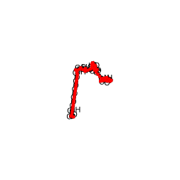 COc1cc2c(cc1OCCCCCOc1cc3c(cc1OC)C(=O)N1C=C(C)C[C@H]1[C@H](O)N3C(=O)OCc1ccc(NC(=O)[C@H](C)NC(=O)C(NC(=O)CCOCCOCCOCCOCCOCCOCCOCCOCCNC(=O)CCN3C(=O)C=CC3=O)C(C)C)cc1)N=C[C@@H]1CC(C)=CN1C2=O